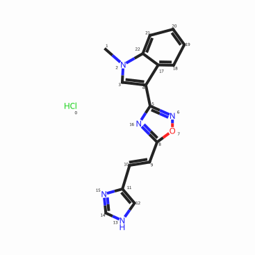 Cl.Cn1cc(-c2noc(C=Cc3c[nH]cn3)n2)c2ccccc21